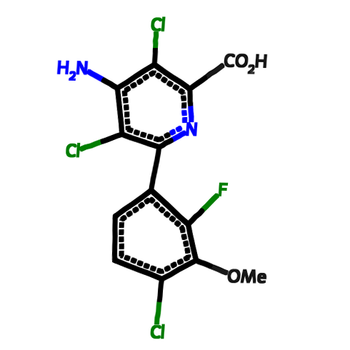 COc1c(Cl)ccc(-c2nc(C(=O)O)c(Cl)c(N)c2Cl)c1F